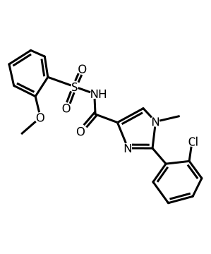 COc1ccccc1S(=O)(=O)NC(=O)c1cn(C)c(-c2ccccc2Cl)n1